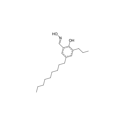 CCCCCCCCCc1cc(C=NO)c(O)c(CCC)c1